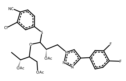 CC(=O)OCC(OC(Sc1ccc(C#N)c(Cl)c1)[C@H](Cn1cc(-c2ccc(F)c(F)c2)nn1)OC(C)=O)[C@@H](C)OC(C)=O